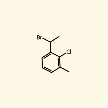 Cc1cccc(C(C)Br)c1Cl